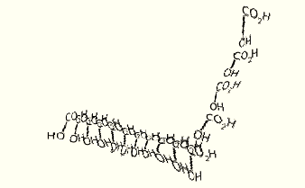 O=C(O)O.O=C(O)O.O=C(O)O.O=C(O)O.O=C(O)O.O=C(O)O.O=C(O)O.O=C(O)O.O=C(O)O.O=C(O)O.O=C(O)O.O=C(O)O.O=C(O)O.O=C(O)O.O=C(O)O